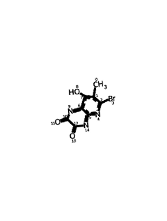 Cc1c(Br)nc2c(c1O)=NC(=O)C(=O)N=2